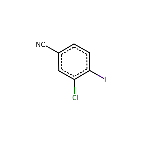 N#Cc1ccc(I)c(Cl)c1